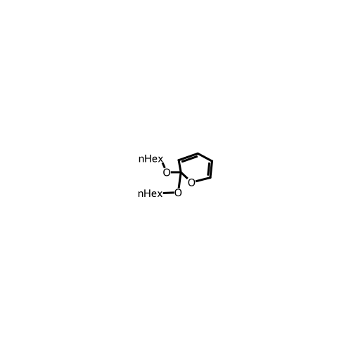 CCCCCCOC1(OCCCCCC)C=CC=CO1